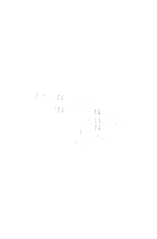 O=C(N[C@H]1COCC[C@@H]1N1Cc2ccc(-c3noc(C(F)(F)F)n3)cc2C1=O)[C@H]1CC1(F)F